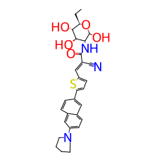 CC[C@H]1OC(O)[C@H](NC(=O)/C(C#N)=C/c2ccc(-c3ccc4cc(N5CCCCC5)ccc4c3)s2)[C@@H](O)[C@@H]1O